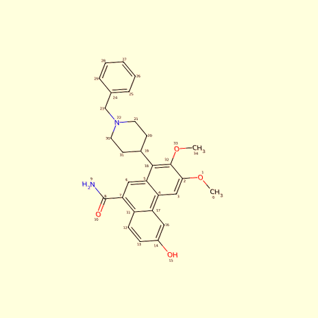 COc1cc2c(cc(C(N)=O)c3ccc(O)cc32)c(C2CCN(Cc3ccccc3)CC2)c1OC